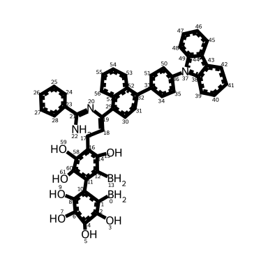 Bc1c(O)c(O)c(O)c(O)c1-c1c(B)c(O)c(C/C=C(\N=C(/N)c2ccccc2)c2ccc(-c3ccc(-n4c5ccccc5c5ccccc54)cc3)c3ccccc23)c(O)c1O